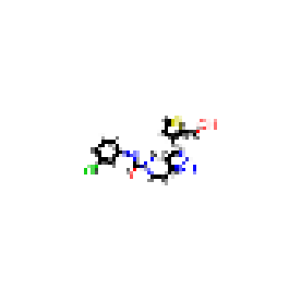 O=C(Nc1cccc(Cl)c1)N1CCc2[nH]nc(-c3ccsc3CO)c2C1